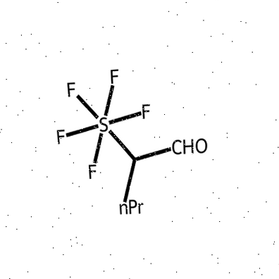 CCCC(C=O)S(F)(F)(F)(F)F